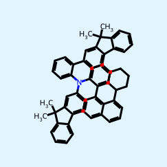 CC1(C)c2ccccc2-c2ccc(-c3ccccc3N(c3ccc4c(c3)C(C)(C)c3ccccc3-4)c3ccccc3-c3cccc4cccc(C5CCCCC5)c34)cc21